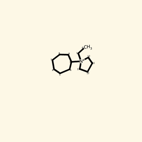 CC[N+]1(C2CCCCCC2)CCCC1